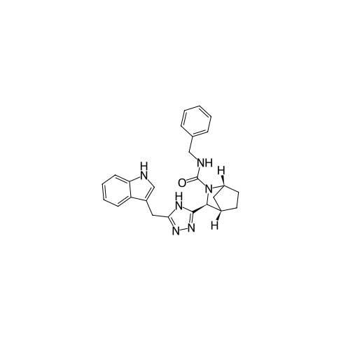 O=C(NCc1ccccc1)N1[C@@H]2CC[C@@H](C2)[C@H]1c1nnc(Cc2c[nH]c3ccccc23)[nH]1